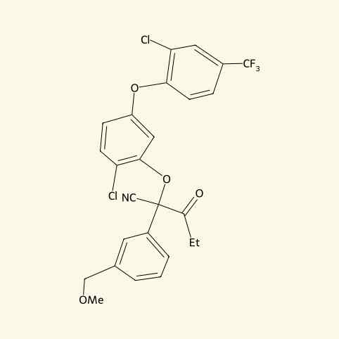 CCC(=O)C(C#N)(Oc1cc(Oc2ccc(C(F)(F)F)cc2Cl)ccc1Cl)c1cccc(COC)c1